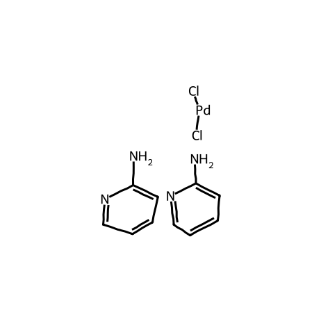 Nc1ccccn1.Nc1ccccn1.[Cl][Pd][Cl]